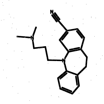 CN(C)CCCN1c2ccccc2CCc2ccc(C#N)cc21